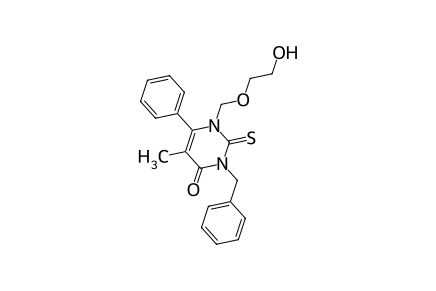 Cc1c(-c2ccccc2)n(COCCO)c(=S)n(Cc2ccccc2)c1=O